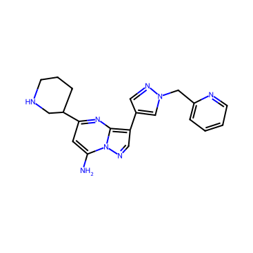 Nc1cc(C2CCCNC2)nc2c(-c3cnn(Cc4ccccn4)c3)cnn12